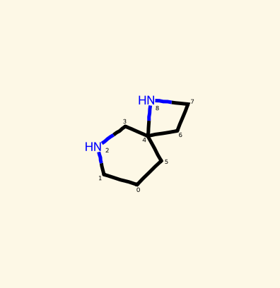 C1CNCC2(C1)CCN2